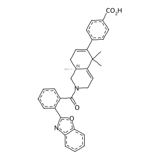 CC1(C)C(c2ccc(C(=O)O)cc2)=CC[C@]2(C)CN(C(=O)c3ccccc3-c3nc4ccccc4o3)CC=C12